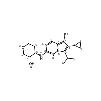 CC(C)c1c(C2CC2)c(F)c2cnc(N[C@@H]3CCOC[C@H]3O)nn12